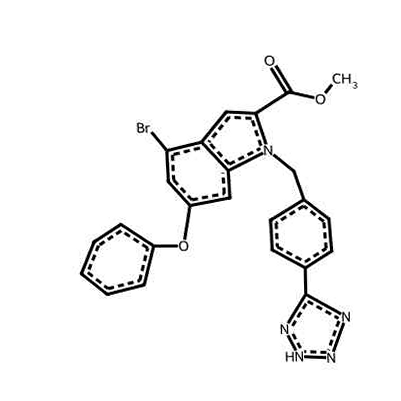 COC(=O)c1cc2c(Br)cc(Oc3ccccc3)cc2n1Cc1ccc(-c2nn[nH]n2)cc1